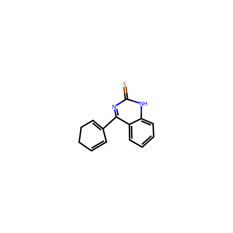 S=c1nc(C2=CCCC=C2)c2ccccc2[nH]1